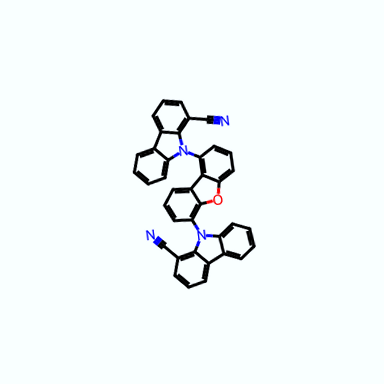 N#Cc1cccc2c3ccccc3n(-c3cccc4c3oc3cccc(-n5c6ccccc6c6cccc(C#N)c65)c34)c12